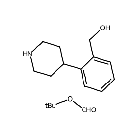 CC(C)(C)OC=O.OCc1ccccc1C1CCNCC1